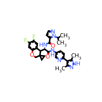 Cc1n[nH]c(C)c1-c1ccc(NC(=O)[C@@H](NC(=O)c2ccnn2C(C)C)C2c3cc(F)c(F)cc3OCC23CC3)cn1